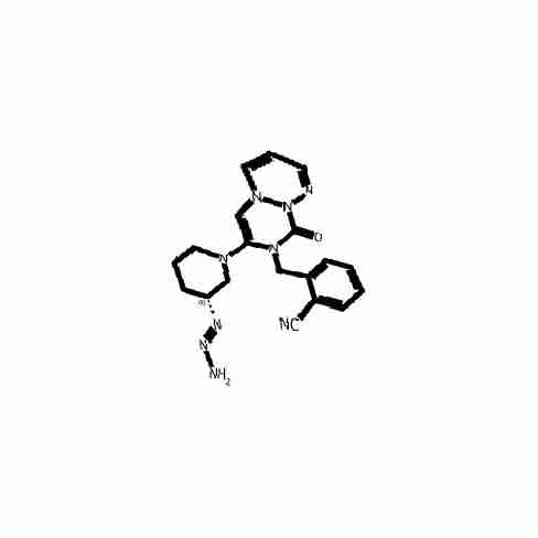 N#Cc1ccccc1CN1C(=O)N2N=CC=CN2C=C1N1CCC[C@@H](N=NN)C1